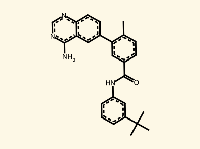 Cc1ccc(C(=O)Nc2cccc(C(C)(C)C)c2)cc1-c1ccc2ncnc(N)c2c1